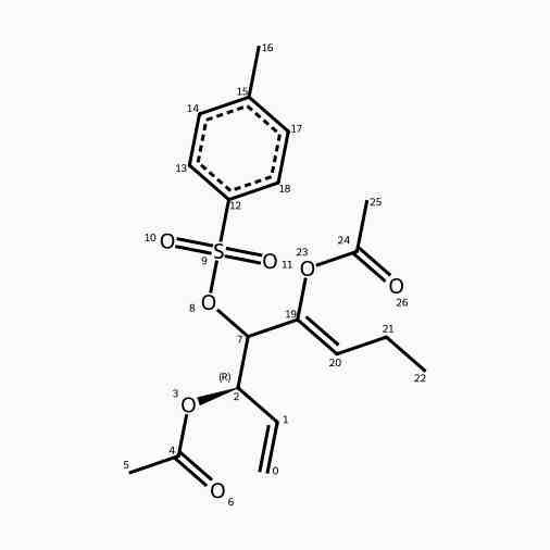 C=C[C@@H](OC(C)=O)C(OS(=O)(=O)c1ccc(C)cc1)C(=CCC)OC(C)=O